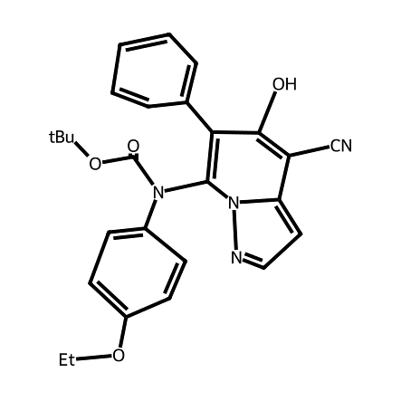 CCOc1ccc(N(C(=O)OC(C)(C)C)c2c(-c3ccccc3)c(O)c(C#N)c3ccnn23)cc1